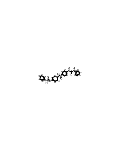 O=S(=O)(c1ccc(NC(=S)Nc2ccccc2)cc1)c1ccc(NC(=S)Nc2ccccc2)cc1